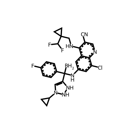 BC(Nc1cc(Cl)c2ncc(C#N)c(NCC3(C(F)F)CC3)c2c1)(C1=CN(C2CC2)NN1)c1ccc(F)cc1